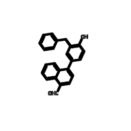 O=Cc1ccc(-c2ccc(O)c(Cc3ccccc3)c2)c2ccccc12